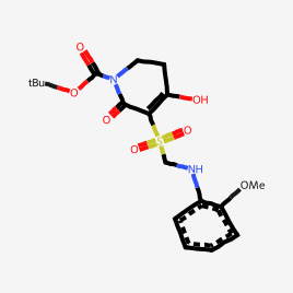 COc1ccccc1NCS(=O)(=O)C1=C(O)CCN(C(=O)OC(C)(C)C)C1=O